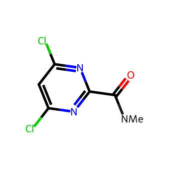 CNC(=O)c1nc(Cl)cc(Cl)n1